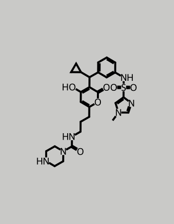 Cn1cnc(S(=O)(=O)Nc2cccc(C(c3c(O)cc(CCCNC(=O)N4CCNCC4)oc3=O)C3CC3)c2)c1